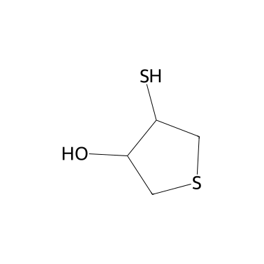 OC1CSCC1S